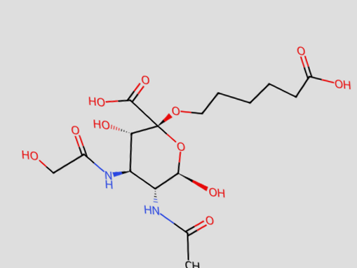 CC(=O)N[C@@H]1[C@@H](NC(=O)CO)[C@H](O)[C@](OCCCCCC(=O)O)(C(=O)O)O[C@H]1O